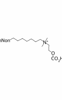 CCCCCCCCCCCCCCCC[N+](C)(C)CCOC(=O)O